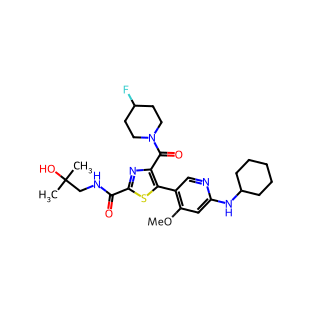 COc1cc(NC2CCCCC2)ncc1-c1sc(C(=O)NCC(C)(C)O)nc1C(=O)N1CCC(F)CC1